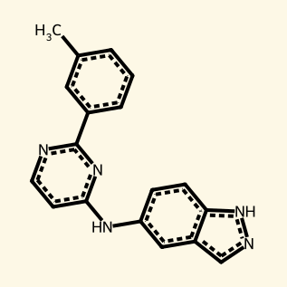 Cc1cccc(-c2nccc(Nc3ccc4[nH]ncc4c3)n2)c1